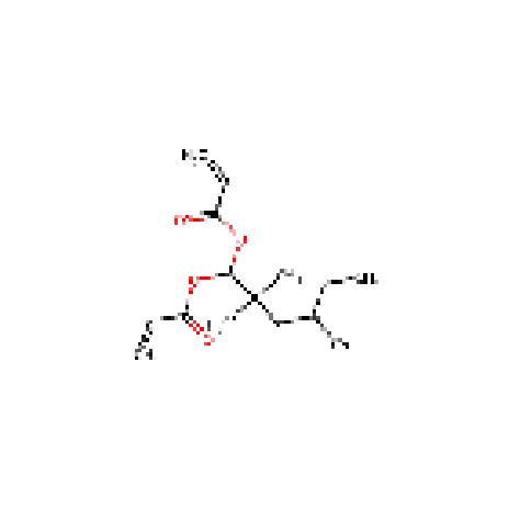 C=CC(=O)OC(OC(=O)C=C)C(C)(C)CC(C)CC